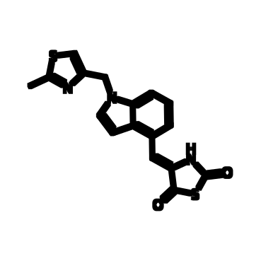 Cc1nc(Cn2ccc3c(C=C4NC(=O)SC4=O)cccc32)cs1